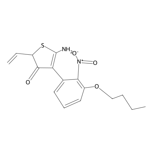 C=CC1SC(N)=C(c2cccc(OCCCC)c2[N+](=O)[O-])C1=O